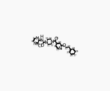 O=C(Nc1nccnc1Cl)N1CCN(C(=O)c2ccnc(OCCc3ccccc3)c2)CC1